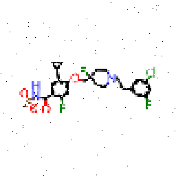 CS(=O)(=O)NC(=O)c1cc(C2CC2)c(OCC2(F)CCN(CCc3cc(F)cc(Cl)c3)CC2)cc1F